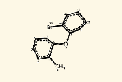 Cc1ccccc1Oc1ccccc1Br